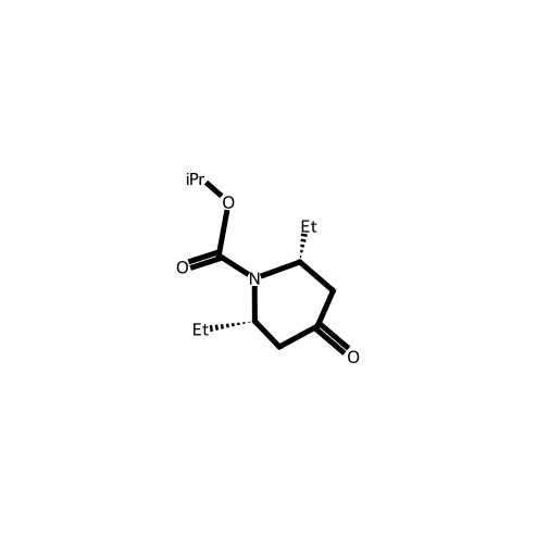 CC[C@@H]1CC(=O)C[C@H](CC)N1C(=O)OC(C)C